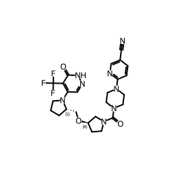 N#Cc1ccc(N2CCN(C(=O)N3CC[C@@H](OC[C@@H]4CCCN4c4cn[nH]c(=O)c4C(F)(F)F)C3)CC2)nc1